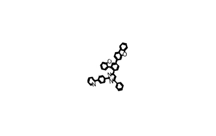 c1ccc(-c2cc(-c3ccc(-c4ccc5c(c4)oc4ccccc45)c4oc5ccccc5c34)nc(-c3ccc(-c4ccccn4)cc3)n2)cc1